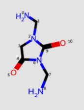 NCN1CC(=O)N(CN)C1=O